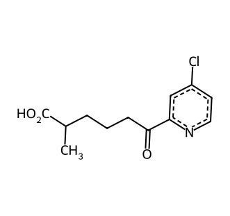 CC(CCCC(=O)c1cc(Cl)ccn1)C(=O)O